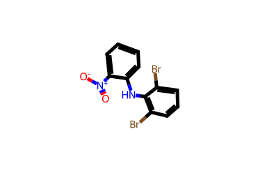 O=[N+]([O-])c1ccccc1Nc1c(Br)cccc1Br